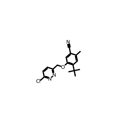 Cc1cc(C(C)(C)C)c(OCc2ccc(Cl)nn2)cc1C#N